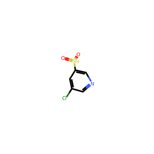 O=[SH](=O)c1cncc(Cl)c1